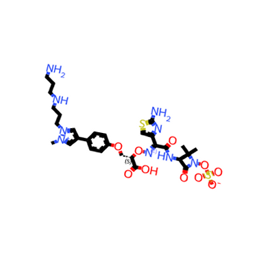 C[n+]1cc(-c2ccc(OC[C@H](O/N=C(/C(=O)NC3C(=O)N(OS(=O)(=O)[O-])C3(C)C)c3csc(N)n3)C(=O)O)cc2)cn1CCCNCCCN